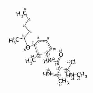 CCCCC(C)Oc1cccc(NC(=O)/C(C(C)=N)=C(\Cl)NC)c1C